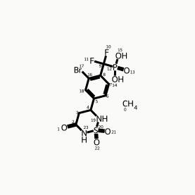 C.O=C1CC(c2ccc(C(F)(F)P(=O)(O)O)c(Br)c2)NS(=O)(=O)N1